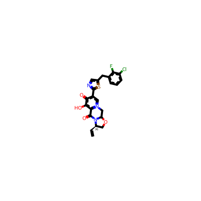 C=C[C@@H]1COC2Cn3cc(-c4ncc(Cc5cccc(Cl)c5F)s4)c(=O)c(O)c3C(=O)N21